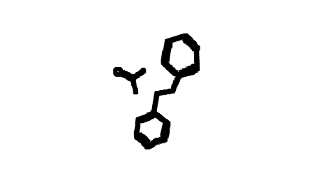 CC(C)=O.c1ccc(CCc2ccccc2)cc1